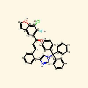 O=C(C=Cc1ccccc1-c1cn(C(c2ccccc2)(c2ccccc2)c2ccccc2)cn1)c1cc2ccoc2c(Cl)c1F